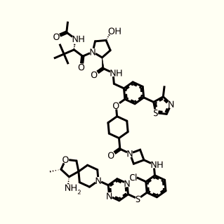 CC(=O)N[C@H](C(=O)N1C[C@H](O)C[C@H]1C(=O)NCc1ccc(-c2scnc2C)cc1OC1CCC(C(=O)N2CC(Nc3cccc(Sc4cnc(N5CCC6(CC5)CO[C@@H](C)[C@H]6N)cn4)c3Cl)C2)CC1)C(C)(C)C